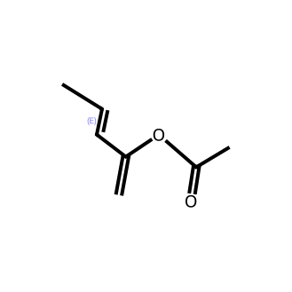 C=C(/C=C/C)OC(C)=O